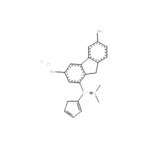 C[Si](C)=[Zr+2]([C]1=CC=CC1)[c]1cc(C(C)(C)C)cc2c1Cc1ccc(C(C)(C)C)cc1-2.[Cl-].[Cl-]